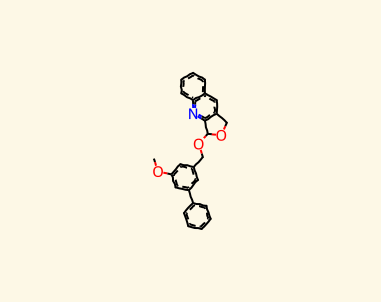 COc1cc(COC2OCc3cc4ccccc4nc32)cc(-c2ccccc2)c1